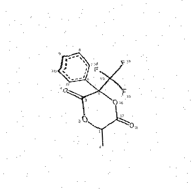 CC1OC(=O)C(c2ccccc2)(C(F)(F)F)OC1=O